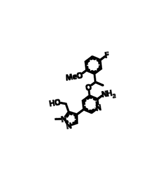 COc1ccc(F)cc1C(C)Oc1cc(-c2cnn(C)c2CO)cnc1N